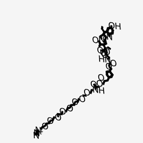 CCc1c2c(nc3ccc(O)cc13)-c1cc3c(c(=O)n1C2)COC(=O)[C@@]3(CC)OC(=O)CNC(=O)OCc1ccc(CC(=O)COCC(=O)NCCOCCOCCOCCOCCOCCOCCOCCOCCN=[N+]=[N-])cc1